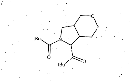 CC(C)(C)C(=O)C1C2CCOCC2CN1C(=O)C(C)(C)C